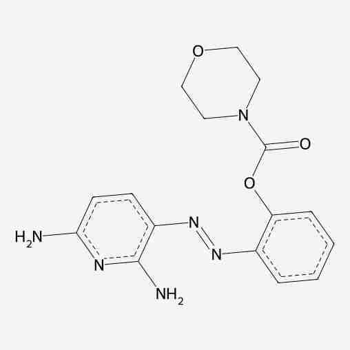 Nc1ccc(N=Nc2ccccc2OC(=O)N2CCOCC2)c(N)n1